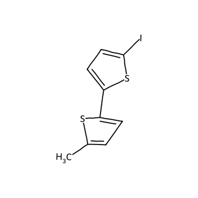 Cc1ccc(-c2ccc(I)s2)s1